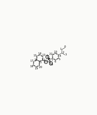 CCC(C)c1ccc(S(=O)(=O)Oc2cccc3ccccc23)cc1